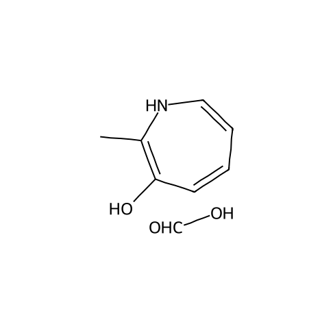 CC1=C(O)C=CC=CN1.O=CO